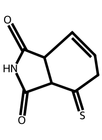 O=C1NC(=O)C2C(=S)CC=CC12